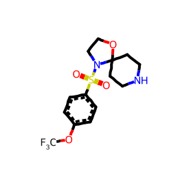 O=S(=O)(c1ccc(OC(F)(F)F)cc1)N1CCOC12CCNCC2